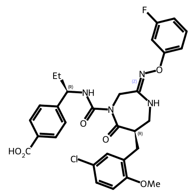 CC[C@@H](NC(=O)N1C/C(=N/Oc2cccc(F)c2)NC[C@@H](Cc2cc(Cl)ccc2OC)C1=O)c1ccc(C(=O)O)cc1